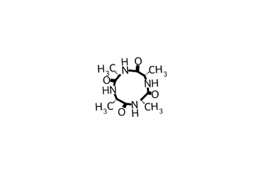 C[C@@H]1NC(=O)[C@H](C)NC(=O)[C@H](C)NC(=O)[C@H](C)NC1=O